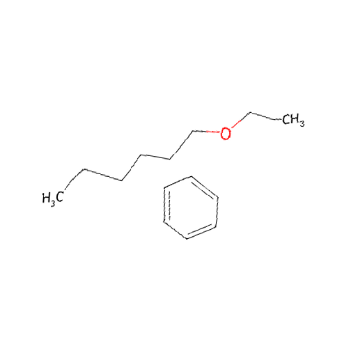 CCCCCCOCC.c1ccccc1